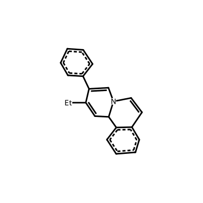 CCC1=CC2c3ccccc3C=CN2C=C1c1ccccc1